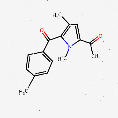 CC(=O)c1cc(C)c(C(=O)c2ccc(C)cc2)n1C